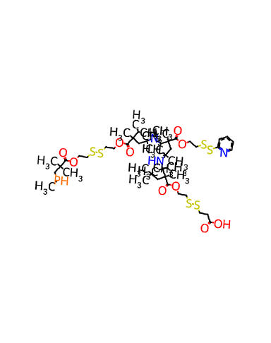 CPCC(C)(C)C(=O)OCCSSCCOC(=O)C(C)(CC(C)(C)N(C)CC(C)(CC(C)(C)NC(C)(C)C(C)(CC(C)(C)C)C(=O)OCCSSCCC(=O)O)C(=O)OCCSSc1ccccn1)C(C)C